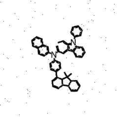 C=C(/C=c1\c(=C/C)n(-c2ccccc2)c2ccccc12)N(c1ccc(C2=CC=CC3C4C=CC=CC4C(C)(C)C23)cc1)c1ccc2ccccc2c1